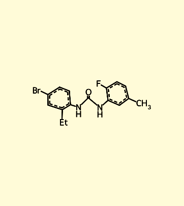 CCc1cc(Br)ccc1NC(=O)Nc1cc(C)ccc1F